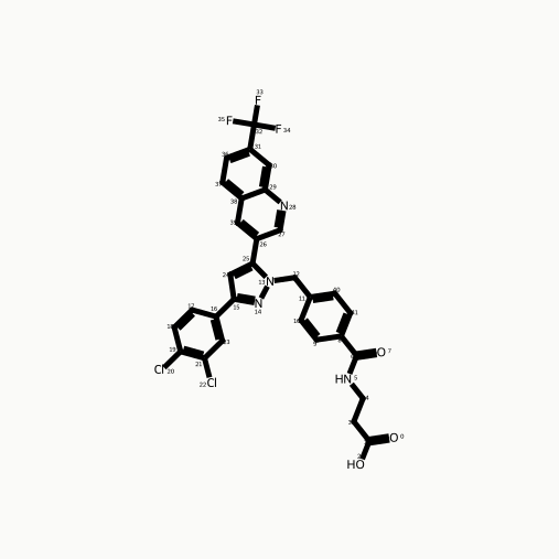 O=C(O)CCNC(=O)c1ccc(Cn2nc(-c3ccc(Cl)c(Cl)c3)cc2-c2cnc3cc(C(F)(F)F)ccc3c2)cc1